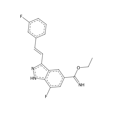 CCOC(=N)c1cc(F)c2[nH]nc(/C=C/c3cccc(F)c3)c2c1